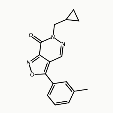 Cc1cccc(-c2onc3c(=O)n(CC4CC4)ncc23)c1